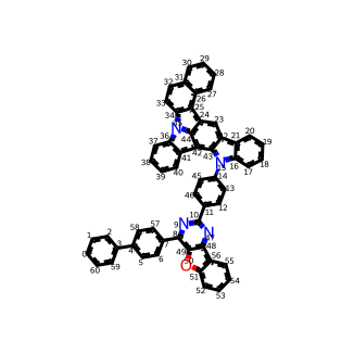 c1ccc(-c2ccc(-c3nc(-c4ccc(-n5c6ccccc6c6cc7c8c9ccccc9ccc8n8c9ccccc9c(c65)c78)cc4)nc4c3oc3ccccc34)cc2)cc1